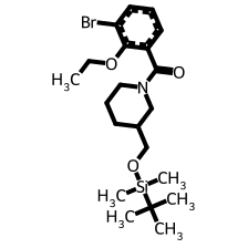 CCOc1c(Br)cccc1C(=O)N1CCCC(CO[Si](C)(C)C(C)(C)C)C1